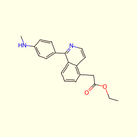 CCOC(=O)Cc1cccc2c(-c3ccc(NC)cc3)nccc12